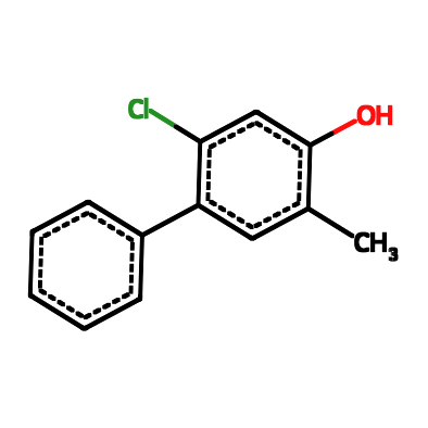 Cc1cc(-c2ccccc2)c(Cl)cc1O